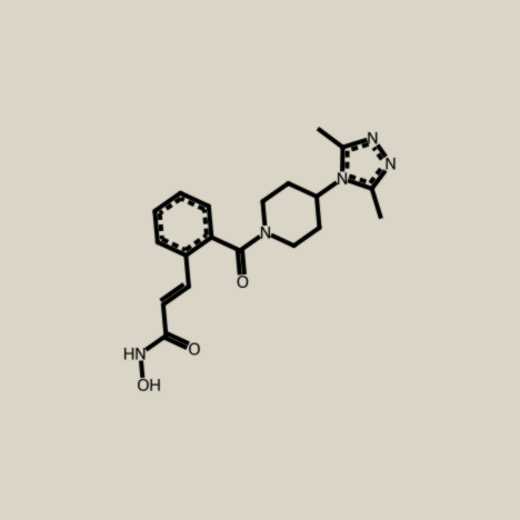 Cc1nnc(C)n1C1CCN(C(=O)c2ccccc2C=CC(=O)NO)CC1